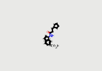 O=C(CCC1CCCC1)NC1CCc2ccc(C(=O)O)cc21